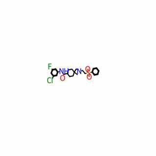 O=C(Nc1cc(F)cc(Cl)c1)C1CCC2(CC1)CN(CCS(=O)(=O)c1ccccc1)C2